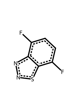 Fc1ccc(F)c2snnc12